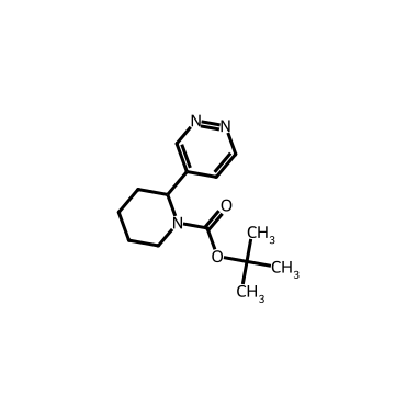 CC(C)(C)OC(=O)N1CCCCC1c1ccnnc1